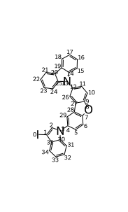 Ic1cn(-c2ccc3oc4ccc(-n5c6ccccc6c6ccccc65)cc4c3c2)c2ccccc12